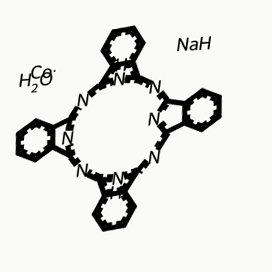 O.[Co].[NaH].c1ccc2c(c1)-c1nc-2nc2[nH]c(nc3nc(nc4[nH]c(n1)c1ccccc41)-c1ccccc1-3)c1ccccc21